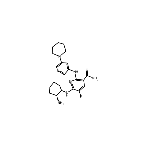 NC(=O)c1cc(F)c(NC2CCCC[C@@H]2N)nc1Nc1cncc(N2CCCCC2)c1